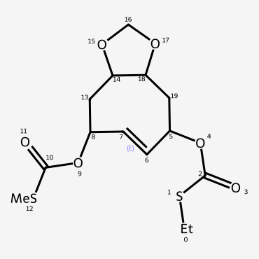 CCSC(=O)OC1/C=C/C(OC(=O)SC)CC2OCOC2C1